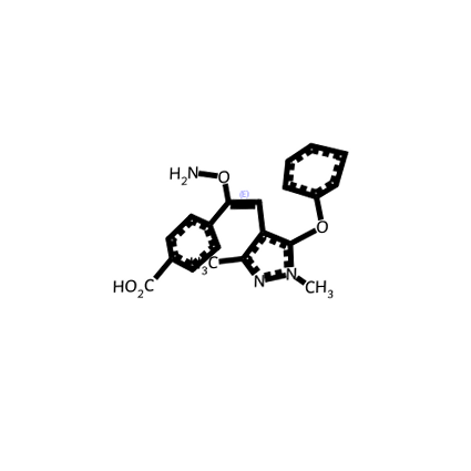 Cc1nn(C)c(Oc2ccccc2)c1/C=C(/ON)c1ccc(C(=O)O)cc1